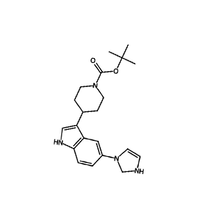 CC(C)(C)OC(=O)N1CCC(c2c[nH]c3ccc(N4C=CNC4)cc23)CC1